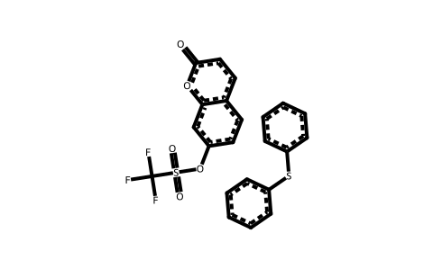 O=c1ccc2ccc(OS(=O)(=O)C(F)(F)F)cc2o1.c1ccc(Sc2ccccc2)cc1